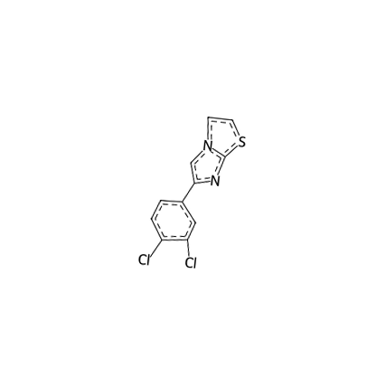 Clc1ccc(-c2cn3ccsc3n2)cc1Cl